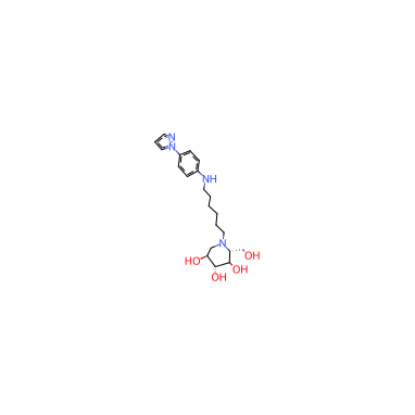 OC[C@@H]1[C@@H](O)[C@H](O)[C@@H](O)CN1CCCCCCNc1ccc(-n2cccn2)cc1